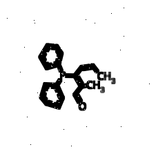 C/C=C\C(=C(/C)C=O)P(c1ccccc1)c1ccccc1